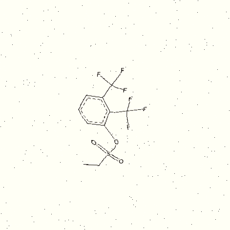 CCS(=O)(=O)Oc1cccc(C(F)(F)F)c1C(F)(F)F